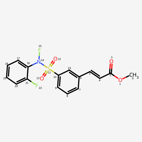 COC(=O)C=Cc1cccc(S(=O)(=O)N(F)c2ccccc2F)c1